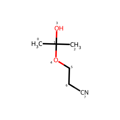 CC(C)(O)OCCC#N